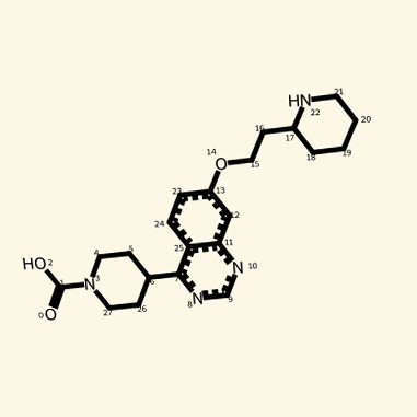 O=C(O)N1CCC(c2ncnc3cc(OCCC4CCCCN4)ccc23)CC1